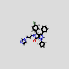 O=C1c2c(c(-c3ccccc3)nn2C2CCCC2)C(c2ccc(Br)cc2)N1CCCn1ccnc1